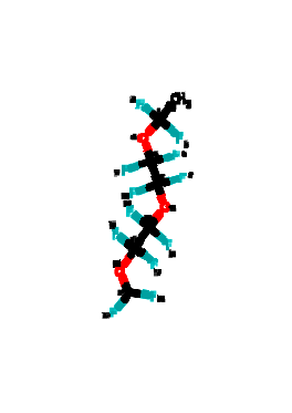 CC(F)(F)OC(F)(F)C(F)(F)OC(F)(F)C(F)(F)OC(F)F